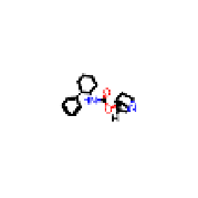 O=C(N[C@H]1CCCC[C@@H]1c1ccccc1)O[C@H]1CN2CCC1CC2